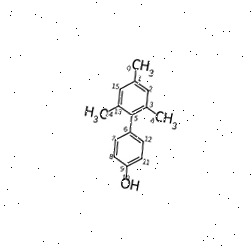 Cc1cc(C)c(-c2ccc(O)cc2)c(C)c1